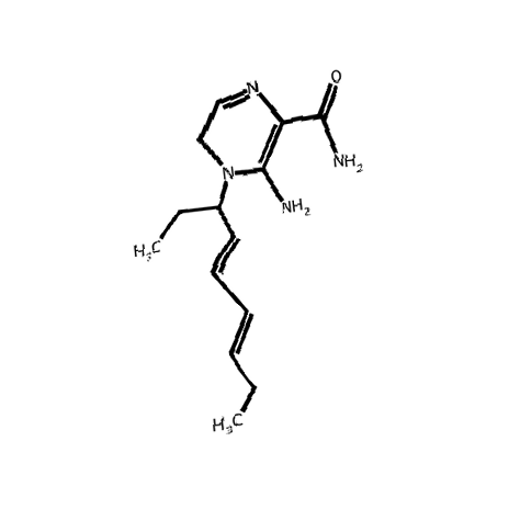 CC/C=C/C=CC(CC)N1CC=NC(C(N)=O)=C1N